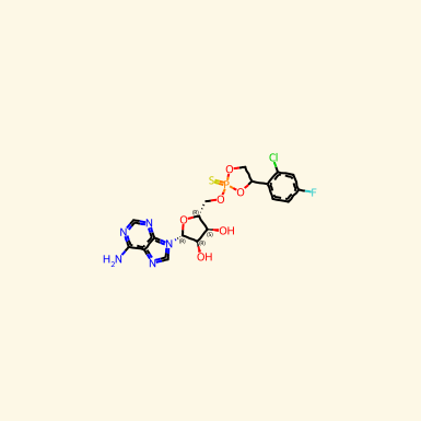 Nc1ncnc2c1ncn2[C@@H]1O[C@H](COP2(=S)OCC(c3ccc(F)cc3Cl)O2)[C@@H](O)[C@H]1O